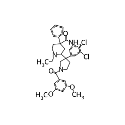 CCN1CCC(C(N)=O)(c2ccccc2)CC1C1(c2ccc(Cl)c(Cl)c2)CCN(C(=O)c2cc(OC)cc(OC)c2)C1